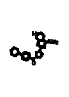 CNc1nc(C2CCN(C(=O)c3ccc(C4CCCCC4)cc3)C2)nc2c1CCNC2